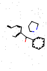 C=C/C=C\C(=C/C)C(O)(c1ccccc1)[C@@H]1CCCN1